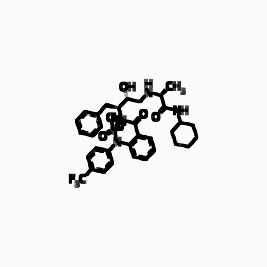 C[C@H](NC[C@@H](O)[C@H](Cc1ccccc1)NC(=O)c1ccccc1N(c1ccc(C(F)(F)F)cc1)S(C)(=O)=O)C(=O)NC1CCCCC1